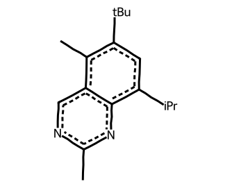 Cc1ncc2c(C)c(C(C)(C)C)cc(C(C)C)c2n1